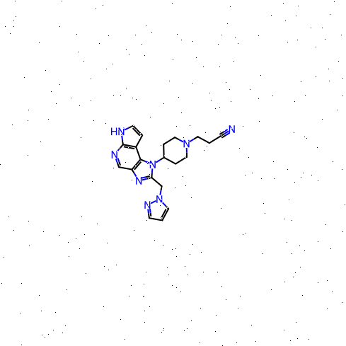 N#CCCN1CCC(n2c(Cn3cccn3)nc3cnc4[nH]ccc4c32)CC1